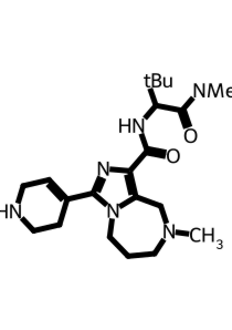 CNC(=O)C(NC(=O)c1nc(C2=CCNCC2)n2c1CN(C)CCC2)C(C)(C)C